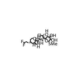 CSC1O[C@H]([C@H](NC(=O)[C@H]2NC[C@@H]3C[C@H](CCC(F)F)CCO[C@H]32)[C@H](C)Cl)C(O)[C@@H](O)[C@H]1O